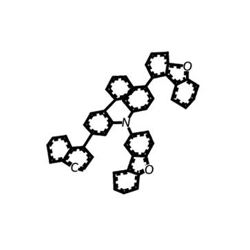 c1ccc(-c2ccc(-c3cccc4ccccc34)cc2N(c2ccc(-c3cccc4oc5ccccc5c34)cc2)c2ccc3oc4ccccc4c3c2)cc1